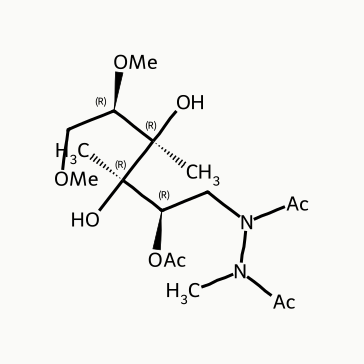 COC[C@@H](OC)[C@@](C)(O)[C@](C)(O)[C@@H](CN(C(C)=O)N(C)C(C)=O)OC(C)=O